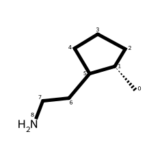 C[C@H]1CCCC1CCN